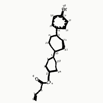 C=CCC(=O)OC1CCC(C2CCC(c3ccc(Br)cc3)CC2)CC1